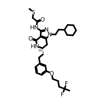 CSCC(=O)Nc1nn(CCC2CCCCC2)c2c1C(=O)N[C@@H](CCc1cccc(OCCCC(C)(F)F)c1)C2